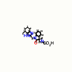 CC1CCCc2nc(CN3C(=O)C4(CN(C(=O)O)C4)c4ccccc43)[nH]c21